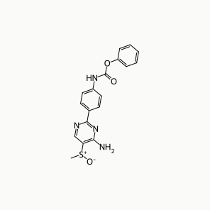 C[S+]([O-])c1cnc(-c2ccc(NC(=O)Oc3ccccc3)cc2)nc1N